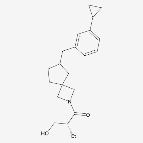 CC[C@H](CO)C(=O)N1CC2(CCC(Cc3cccc(C4CC4)c3)C2)C1